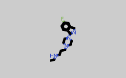 CCNCCCN1CCN(C2=NCc3cc(F)ccc32)CC1